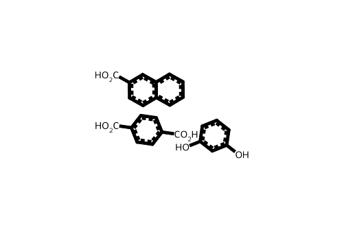 O=C(O)c1ccc(C(=O)O)cc1.O=C(O)c1ccc2ccccc2c1.Oc1cccc(O)c1